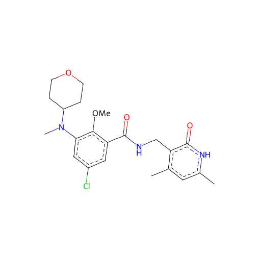 COc1c(C(=O)NCc2c(C)cc(C)[nH]c2=O)cc(Cl)cc1N(C)C1CCOCC1